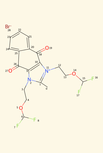 Cc1n(CCOC(F)F)c2c([n+]1CCOC(F)F)C(=O)c1ccccc1C2=O.[Br-]